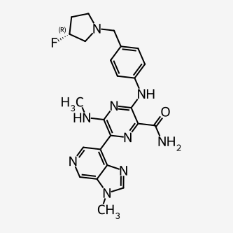 CNc1nc(Nc2ccc(CN3CC[C@@H](F)C3)cc2)c(C(N)=O)nc1-c1cncc2c1ncn2C